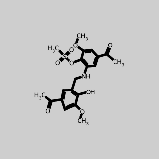 COc1cc(C(C)=O)cc(CNc2cc(C(C)=O)cc(OC)c2OS(C)(=O)=O)c1O